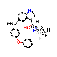 CC[C@H]1C[N@]2CC[C@H]1C[C@@H]2[C@@H](O)c1ccnc2ccc(OC)cc12.c1ccc(Oc2ccccc2)cc1